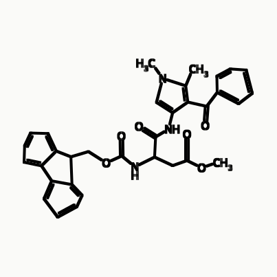 COC(=O)CC(NC(=O)OCC1c2ccccc2-c2ccccc21)C(=O)Nc1cn(C)c(C)c1C(=O)c1ccccc1